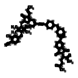 C=C/C(C#CC1CCC(/C=C2/CC3CC(C2)N(c2ccc4c(c2)C(=O)N(C(CCC(C)=O)C(N)=O)C4=O)C3)CC1)=N\C1=C(/C=C/C)C(=O)C(C[C@H]2C(C)(C)[C@H](Oc3ccc(C#N)c(Cl)c3)C2(C)C)C1